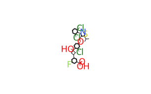 CC(C)c1snc(-c2c(Cl)cccc2Cl)c1COc1ccc(C2(O)CC(c3cc(F)cc(C(=O)O)c3)C2)c(Cl)c1